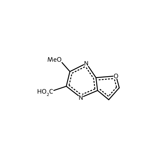 COc1nc2occc2nc1C(=O)O